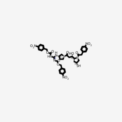 O=C(/N=C(/NC(=O)OCc1ccc([N+](=O)[O-])cc1)N[C@H]1CCN(C(=O)C[C@H](O)[C@@H]2C[C@H](S)CN2C(=O)Cc2ccc([N+](=O)[O-])cc2)C1)OCc1ccc([N+](=O)[O-])cc1